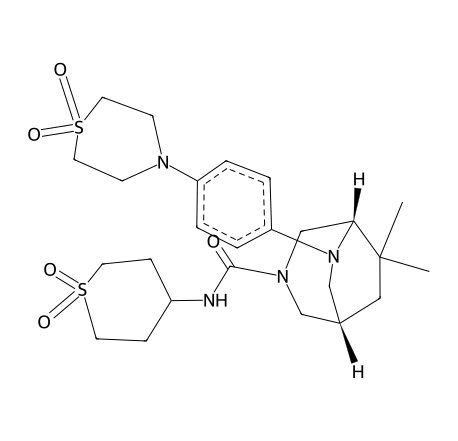 CC1(C)C[C@@H]2CN(C(=O)NC3CCS(=O)(=O)CC3)C[C@H]1N(c1ccc(N3CCS(=O)(=O)CC3)cc1)C2